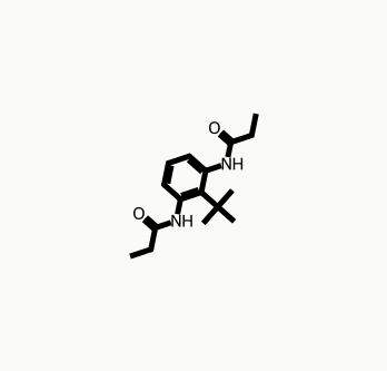 CCC(=O)Nc1cccc(NC(=O)CC)c1C(C)(C)C